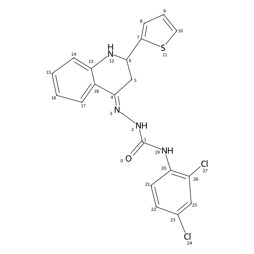 O=C(NN=C1CC(c2cccs2)Nc2ccccc21)Nc1ccc(Cl)cc1Cl